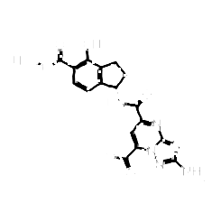 COC(=O)c1ccc2c(c1C)CC[C@@H]2NC(=O)c1cc(C(=O)O)n2nc(N)nc2n1